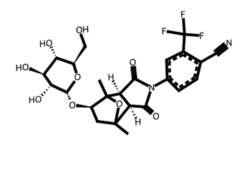 CC12C[C@@H](O[C@H]3O[C@H](CO)[C@@H](O)[C@H](O)[C@H]3O)C(C)(O1)[C@H]1C(=O)N(c3ccc(C#N)c(C(F)(F)F)c3)C(=O)[C@H]12